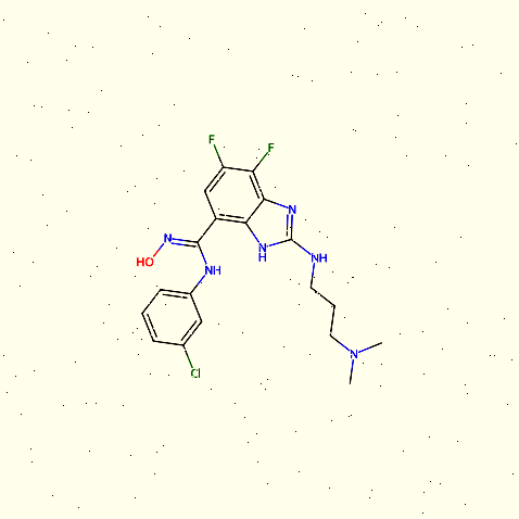 CN(C)CCCNc1nc2c(F)c(F)cc(/C(=N/O)Nc3cccc(Cl)c3)c2[nH]1